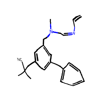 C=C/N=C\N(C)Cc1cc(-c2ccccc2)cc(C(C)(C)C#N)c1